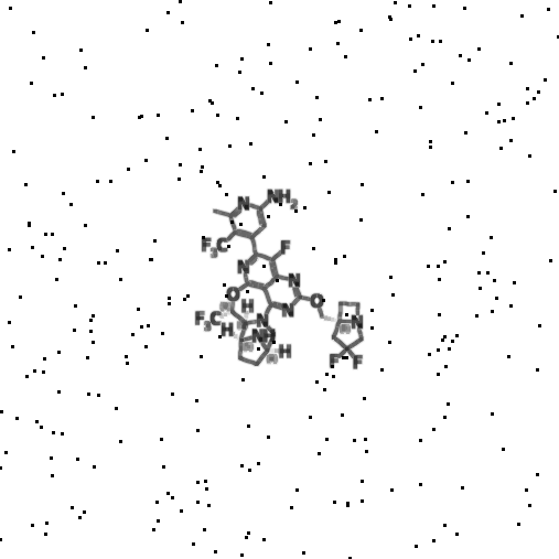 Cc1nc(N)cc(-c2nc3c4c(nc(OC[C@]56CCN5CC(F)(F)C6)nc4c2F)N2C[C@H]4CC[C@H](N4)[C@H]2[C@H](C(F)(F)F)O3)c1C(F)(F)F